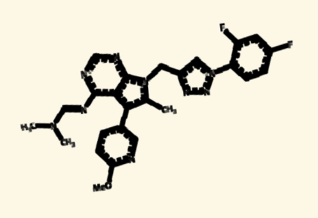 COc1ccc(-c2c(C)n(Cc3cn(-c4ccc(F)cc4F)nn3)c3ncnc(N=CN(C)C)c23)cn1